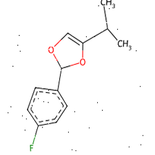 CC(C)C1=COC(c2ccc(F)cc2)O1